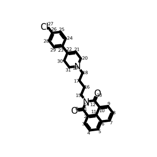 O=C1c2cccc3cccc(c23)C(=O)N1CCCCN1CC=C(c2ccc(Cl)cc2)CC1